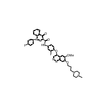 COc1cc2c(Oc3ccc(NC(=O)c4nn(-c5ccc(F)cc5)c5ccccc5c4=O)cc3F)cnnc2cc1OCCCN1CCN(C)CC1